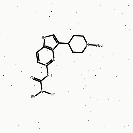 CCCCN1CCC(c2c[nH]c3ccc(NC(=O)N(C(C)C)C(C)C)nc23)CC1